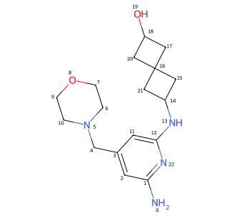 Nc1cc(CN2CCOCC2)cc(NC2CC3(CC(O)C3)C2)n1